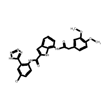 COc1ccc(CC(=O)Nc2cccc3cc(C(=O)Nc4ccc(Cl)cc4-c4nnn[nH]4)[nH]c23)cc1OC